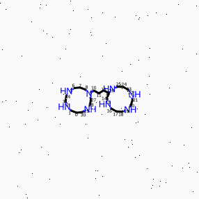 C1CNCCNCCCN(CCCC2CNCCCNCCNCCCN2)CCNC1